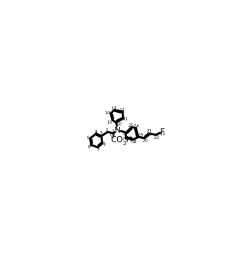 O=C(O)[C@H](Cc1ccccc1)N(c1ccccc1)c1ccc(C=CCF)cc1